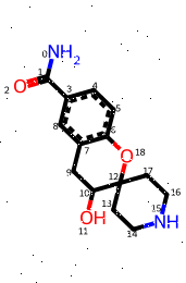 NC(=O)c1ccc2c(c1)CC(O)C1(CCNCC1)O2